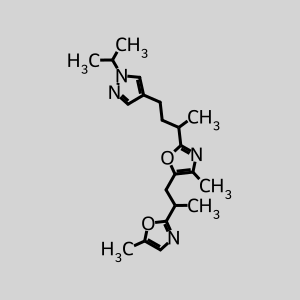 Cc1cnc(C(C)Cc2oc(C(C)CCc3cnn(C(C)C)c3)nc2C)o1